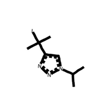 CC(C)n1cc(C(C)(C)I)nn1